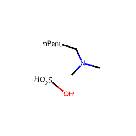 CCCCCCN(C)C.O=S(=O)(O)O